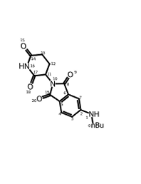 CCCCNc1ccc2c(c1)C(=O)N(C1CCC(=O)NC1=O)C2=O